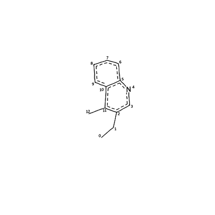 CCc1cnc2ccccc2c1C